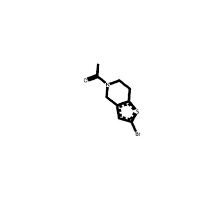 CC(=O)N1CCc2sc(Br)cc2C1